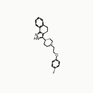 Fc1ccc(OCCN2CCC(c3[nH]nc4c3CCc3ccccc3-4)CC2)cc1